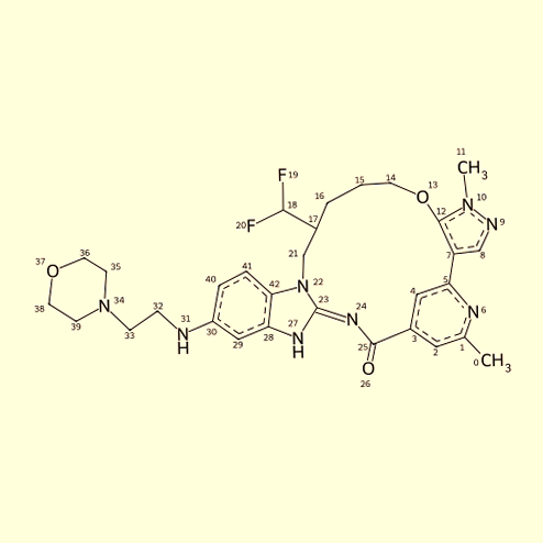 Cc1cc2cc(n1)-c1cnn(C)c1OCCCC(C(F)F)CN1/C(=N/C2=O)Nc2cc(NCCN3CCOCC3)ccc21